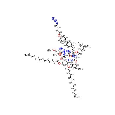 CCCCCCCCCCCCCCCCCCCCCCOc1ccc(C(NC(=O)[C@H](CCCc2cc(C)cc(C)c2)NC(=O)[C@H](Cc2ccc(-c3ccc(OCCCCN=[N+]=[N-])cc3CC)cc2)NC(=O)[C@H](CC(=O)OC(C)(C)C)NC(=O)[C@@H](N)COC(C)(C)C)c2ccc(OC)cc2)c(OCCCCCCCCCCCCCCCCCCCCCC)c1